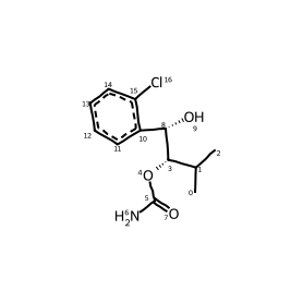 CC(C)[C@H](OC(N)=O)[C@@H](O)c1ccccc1Cl